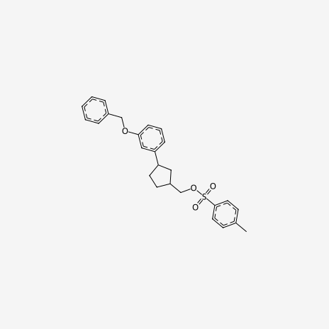 Cc1ccc(S(=O)(=O)OCC2CCC(c3cccc(OCc4ccccc4)c3)C2)cc1